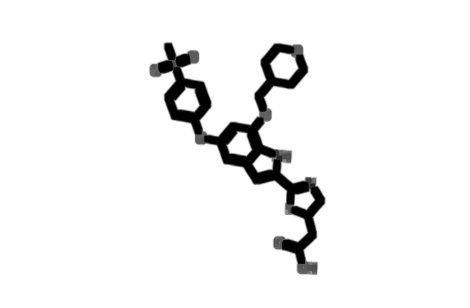 CS(=O)(=O)c1ccc(Oc2cc(OCC3CCOCC3)c3[nH]c(C4=NCC(CC(=O)O)S4)cc3c2)cc1